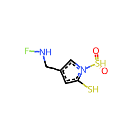 O=[SH](=O)n1cc(CNF)cc1S